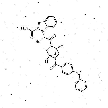 CC(C)(C)[C@@H](C(=O)N1C[C@@H]2C[C@H]1CN2C(=O)c1ccc(Oc2ccccc2)cc1)n1c(C(N)=O)cc2ccccc21